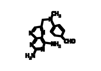 CN(Cc1cnc2nc(N)nc(N)c2n1)C1=CCC(C=O)C=C1